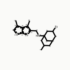 CCC1CC2CC(C)CC(NCc3sc4scc(C)c4c3C)(C1)C2